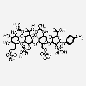 CC(=O)NC1[C@H](O[C@@H]2C(C(=O)O)O[C@@H](O[C@@H]3C(COS(=O)(=O)O)O[C@@H](O[C@@H]4C(C(=O)O)O[C@@H](Oc5ccc(C)cc5)C(OS(=O)(=O)O)[C@H]4O)C(NC(C)=O)[C@H]3O)C(OS(=O)(=O)O)[C@H]2O)OC(COS(=O)(=O)O)[C@@H](O)[C@@H]1O